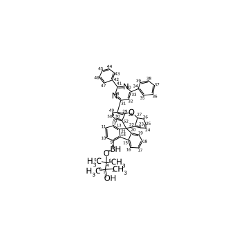 CC(C)(O)C(C)(C)OBc1cccc2c1-c1ccccc1C21C2=CC=CCC2Oc2c(-c3cc(-c4ccccc4)nc(-c4ccccc4)n3)cccc21